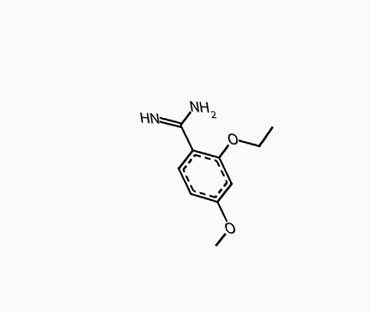 CCOc1cc(OC)ccc1C(=N)N